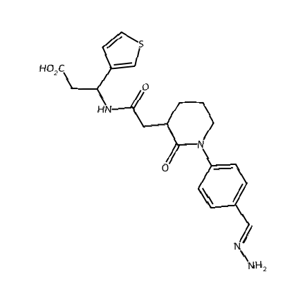 NN=Cc1ccc(N2CCCC(CC(=O)NC(CC(=O)O)c3ccsc3)C2=O)cc1